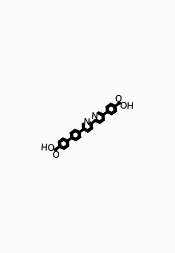 O=C(O)c1ccc(-c2ccc(-c3ccc(-c4ccc(-c5ccc(C(=O)O)cc5)cn4)nc3)cc2)cc1